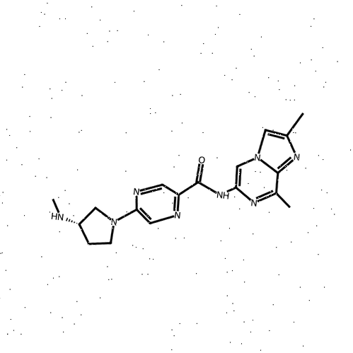 CN[C@H]1CCN(c2cnc(C(=O)Nc3cn4cc(C)nc4c(C)n3)cn2)C1